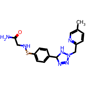 Cc1ccc(CN2N=NC(c3ccc(SNCC(N)=O)cc3)N2)nc1